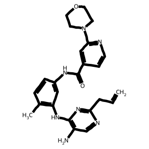 C=CCc1ncc(N)c(Nc2cc(NC(=O)c3ccnc(N4CCOCC4)c3)ccc2C)n1